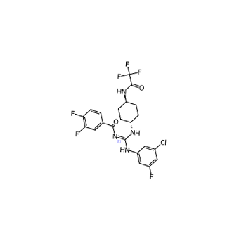 O=C(/N=C(/Nc1cc(F)cc(Cl)c1)N[C@H]1CC[C@H](NC(=O)C(F)(F)F)CC1)c1ccc(F)c(F)c1